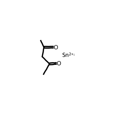 CC(=O)CC(C)=O.[Sn+2]